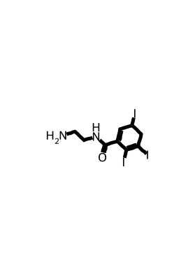 NCCNC(=O)C1=CC(I)CC(I)=C1I